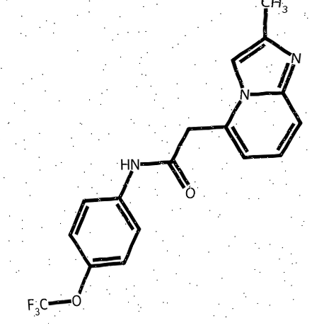 Cc1cn2c(CC(=O)Nc3ccc(OC(F)(F)F)cc3)cccc2n1